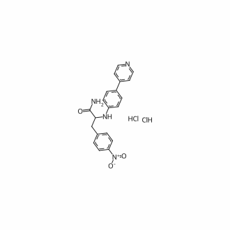 Cl.Cl.NC(=O)C(Cc1ccc([N+](=O)[O-])cc1)Nc1ccc(-c2ccncc2)cc1